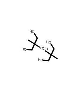 CC(C)(CO)CO.CC(CO)(CO)C(=O)O